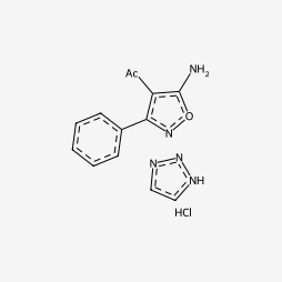 CC(=O)c1c(-c2ccccc2)noc1N.Cl.c1c[nH]nn1